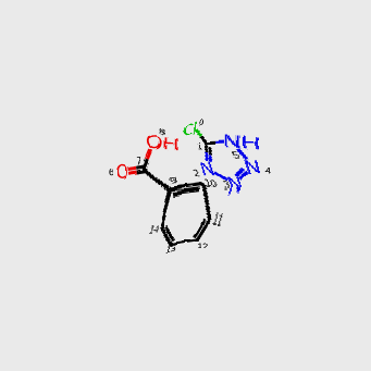 Clc1nnn[nH]1.O=C(O)c1ccccc1